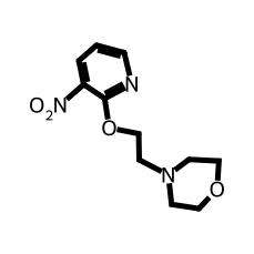 O=[N+]([O-])c1cccnc1OCCN1CCOCC1